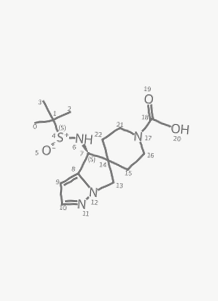 CC(C)(C)[S@@+]([O-])N[C@@H]1c2ccnn2CC12CCN(C(=O)O)CC2